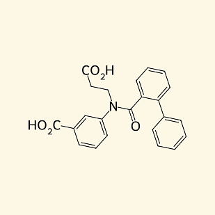 O=C(O)CCN(C(=O)c1ccccc1-c1ccccc1)c1cccc(C(=O)O)c1